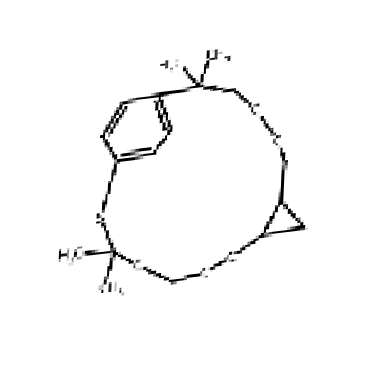 CC1(C)CCCCC2CC2CCCCC(C)(C)c2ccc(cc2)S1